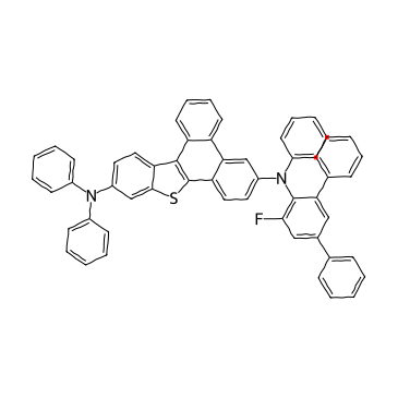 Fc1cc(-c2ccccc2)cc(-c2ccccc2)c1N(c1ccccc1)c1ccc2c(c1)c1ccccc1c1c3ccc(N(c4ccccc4)c4ccccc4)cc3sc21